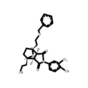 N#CCC[C@@]12CC[C@@](CCOCc3ccccc3)(O1)[C@H]1C(=O)N(c3ccc(C#N)c(C(F)(F)F)c3)C(=O)[C@H]12